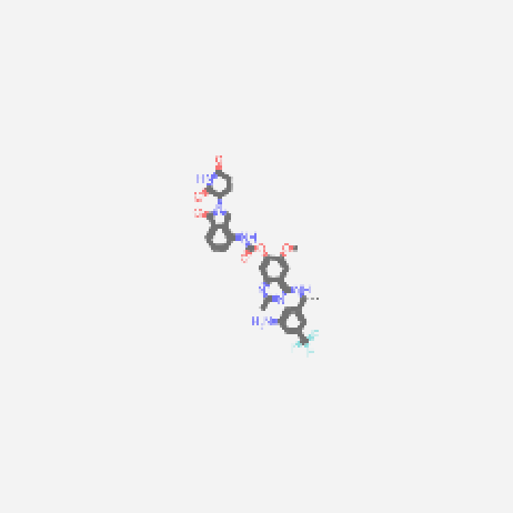 COc1cc2c(N[C@H](C)c3cc(N)cc(C(F)(F)F)c3)nc(C)nc2cc1OC(=O)Nc1cccc2c1CN(C1CCC(=O)NC1=O)C2=O